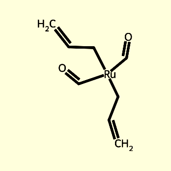 C=C[CH2][Ru]([CH]=O)([CH]=O)[CH2]C=C